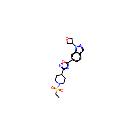 CCS(=O)(=O)N1CCC(c2noc(-c3ccc4cnn(C5COC5)c4c3)n2)CC1